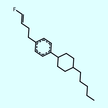 CCCCCC1CCC(c2ccc(CCC=CF)cc2)CC1